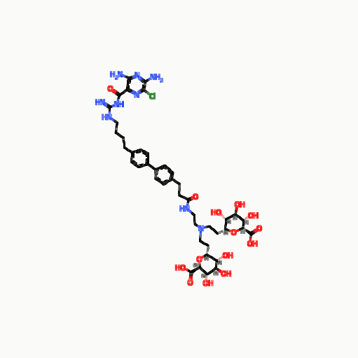 N=C(NCCCCc1ccc(-c2ccc(CCC(=O)NCCN(CC[C@H]3O[C@H](C(=O)O)[C@@H](O)[C@H](O)[C@H]3O)CC[C@H]3O[C@H](C(=O)O)[C@@H](O)[C@H](O)[C@H]3O)cc2)cc1)NC(=O)c1nc(Cl)c(N)nc1N